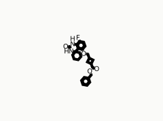 O=C1Nc2c(F)ccc(OCC3CC(C(=O)OCc4ccccc4)C3)c2C2(CCCCC2)N1